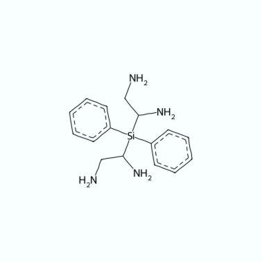 NCC(N)[Si](c1ccccc1)(c1ccccc1)C(N)CN